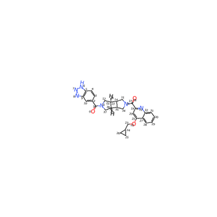 O=C(c1ccc2[nH]nnc2c1)N1C[C@@H]2C3CN(C(=O)c4cc(OCC5CC5)c5ccccc5n4)CC3[C@@H]2C1